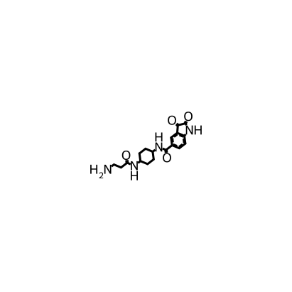 NCCC(=O)NC1CCC(NC(=O)c2ccc3c(c2)C(=O)C(=O)N3)CC1